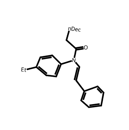 CCCCCCCCCCCC(=O)N(C=Cc1ccccc1)c1ccc(CC)cc1